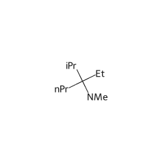 CCCC(CC)(NC)C(C)C